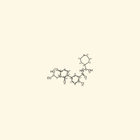 CCC(O)Cn1c(=O)cnn(-c2ccc(Cl)c(C(=O)NC(O)C3CCCCCC3)c2)c1=O